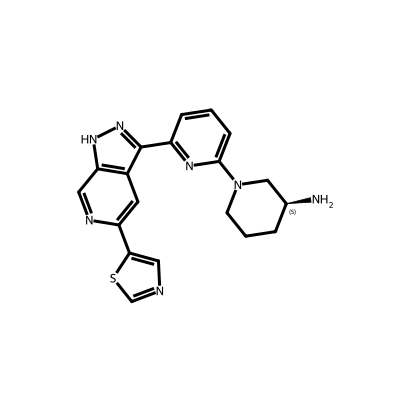 N[C@H]1CCCN(c2cccc(-c3n[nH]c4cnc(-c5cncs5)cc34)n2)C1